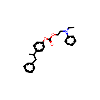 CCN(CCOC(=O)Oc1ccc(C(C)Cc2ccccc2)cc1)c1ccccc1